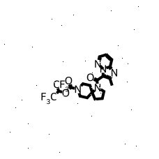 Cc1nc2cccnn2c1C(=O)N1CCCC12CCN(C(=O)OC(C(F)(F)F)C(F)(F)F)CC2